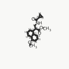 COC(=O)C(CNC(=O)C1CC1)c1cccc2c(OC)cccc12